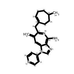 C=C1C=c2c(ncn2-c2ccncc2)=C(N)N=C1CC1=CCCC(C)CC1